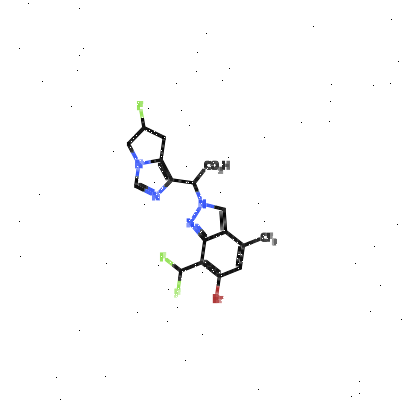 O=C(O)C(c1ncn2c1CC(F)C2)n1cc2c(C(F)(F)F)cc(Br)c(C(F)F)c2n1